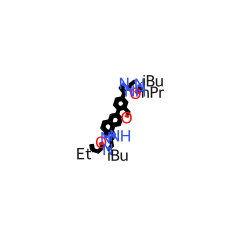 C=C(CC)CC(=O)N(Cc1nc2ccc3cc4c(cc3c2[nH]1)OCc1cc(-c2cnc(CN(C(=O)CCC)[C@@H](C)CC)[nH]2)ccc1-4)[C@@H](C)CC